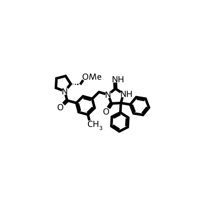 COC[C@H]1CCCN1C(=O)c1cc(C)cc(CN2C(=N)NC(c3ccccc3)(c3ccccc3)C2=O)c1